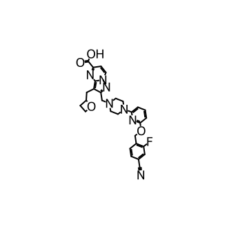 N#Cc1ccc(COc2cccc(N3CCN(Cc4nn5ccc(C(=O)O)nc5c4CC4CCO4)CC3)n2)c(F)c1